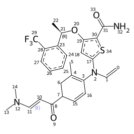 C=CN(C1=C(C)CC(C(=O)/C=C/N(C)C)C=C1)c1cc(O[C@H](C)c2ccccc2C(F)(F)F)c(C(N)=O)s1